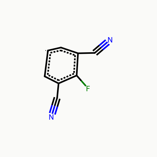 N#Cc1c[c]cc(C#N)c1F